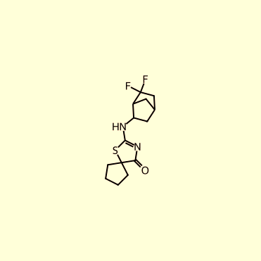 O=C1N=C(NC2CC3CC2C(F)(F)C3)SC12CCCC2